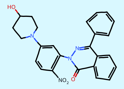 O=c1c2ccccc2c(-c2ccccc2)nn1-c1cc(N2CCC(O)CC2)ccc1[N+](=O)[O-]